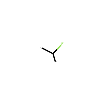 [CH2]C([CH2])F